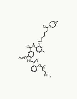 COc1cc(C(=O)N(C)c2ccc(C)cc2OCCCCCC(=O)N2CCN(C)CC2)ccc1NC(=O)c1ccccc1O[C@@H](C)CCN